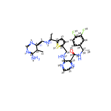 C/C(=N\C=C1\N=CN=C(N)C1C)c1ccc(CNc2nccnc2C(=O)N[C@@H](C)c2ccc(F)c(F)c2)s1